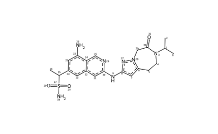 CC(C)N1CCc2cc(Nc3cc4cc(C(C)S(N)(=O)=O)cc(N)c4cn3)nn2CC1=O